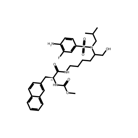 COC(=O)N[C@@H](Cc1ccc2ccccc2c1)C(=O)NCCCCC(CO)N(CC(C)C)S(=O)(=O)c1ccc(N)c(F)c1